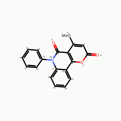 COc1cc(=O)oc2c1c(=O)n(-c1ccccc1)c1ccccc21